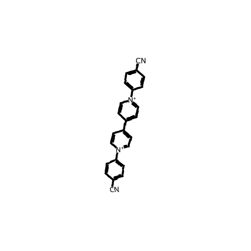 N#Cc1ccc(-[n+]2ccc(-c3cc[n+](-c4ccc(C#N)cc4)cc3)cc2)cc1